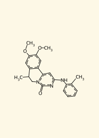 COc1cc2c(cc1OC)C(C)Cn1c-2cc(Nc2ccccc2C)nc1=O